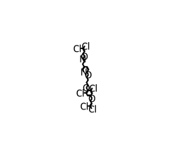 ClC(Cl)=CCON=CCc1ccc(OCCCCOc2c(Cl)cc(OCC=C(Cl)Cl)cc2Cl)nc1